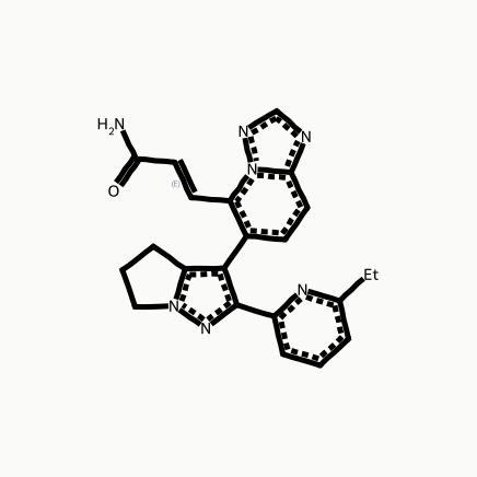 CCc1cccc(-c2nn3c(c2-c2ccc4ncnn4c2/C=C/C(N)=O)CCC3)n1